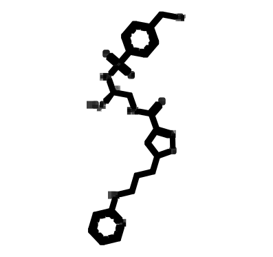 CC(C)Cc1ccc(S(=O)(=O)N[C@@H](CNC(=O)C2=NOC(CCCNc3ccccn3)C2)C(=O)O)cc1